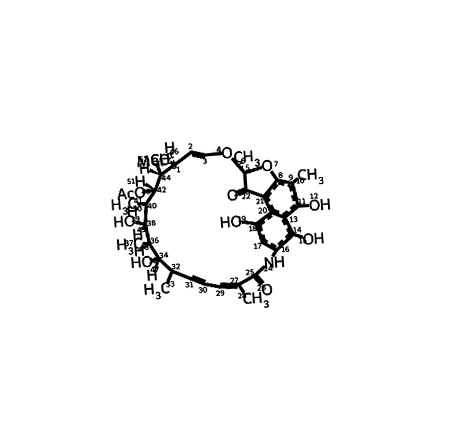 CO[C@H]1/C=C/O[C@@]2(C)Oc3c(C)c(O)c4c(O)c(cc(O)c4c3C2=O)NC(=O)/C(C)=C\C=C\C(C)[C@H](O)[C@@H](C)[C@@H](O)[C@@H](C)[C@H](OC(C)=O)[C@@H]1C